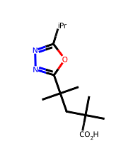 CC(C)c1nnc(C(C)(C)CC(C)(C)C(=O)O)o1